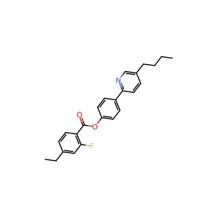 CCCCc1ccc(-c2ccc(OC(=O)c3ccc(CC)cc3F)cc2)nc1